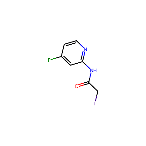 O=C(CI)Nc1cc(F)ccn1